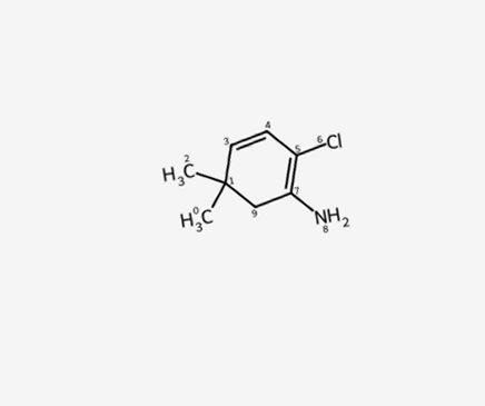 CC1(C)C=CC(Cl)=C(N)C1